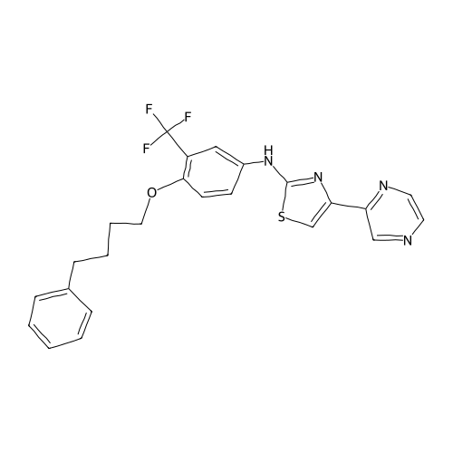 FC(F)(F)c1cc(Nc2nc(-c3cnccn3)cs2)ccc1OCCCCc1ccccc1